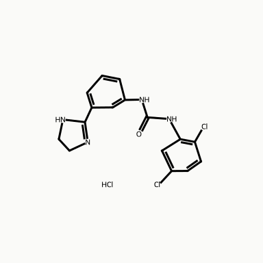 Cl.O=C(Nc1cccc(C2=NCCN2)c1)Nc1cc(Cl)ccc1Cl